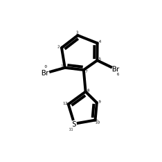 Brc1cccc(Br)c1-c1c[c]sc1